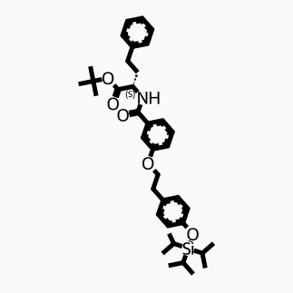 CC(C)[Si](Oc1ccc(CCOc2cccc(C(=O)N[C@@H](CCc3ccccc3)C(=O)OC(C)(C)C)c2)cc1)(C(C)C)C(C)C